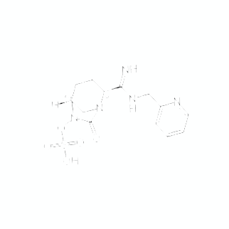 N=C(NCc1ccccn1)[C@@H]1CC[C@@H]2CN1C(=O)N2OS(=O)(=O)O